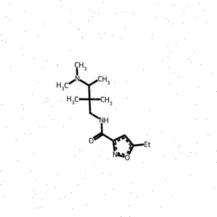 CCc1cc(C(=O)NCC(C)(C)C(C)N(C)C)no1